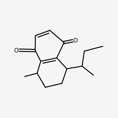 CCC(C)C1CCC(C)C2=C1C(=O)C=CC2=O